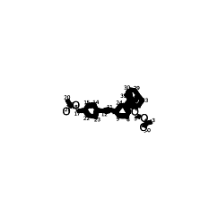 COC(C)OCOc1ccc(C#Cc2ccc(COC(C)=O)cc2)cc1C12CC3CC(CC(C3)C1)C2